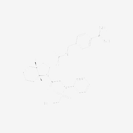 CCS(=O)(=O)N(CC(=O)N1[C@@H](OC(=O)NCc2ccc(C(=N)N)cc2)C[C@H]2CCCC[C@H]21)c1ccccc1